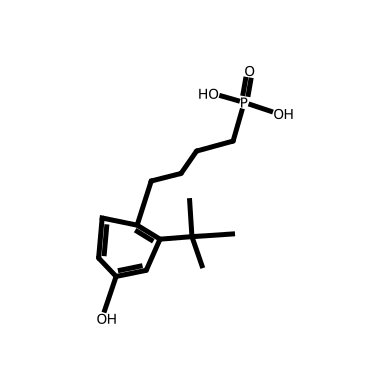 CC(C)(C)c1cc(O)ccc1CCCCP(=O)(O)O